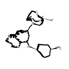 N[C@H]1CC[C@@H](Nc2cc(N3C[C@H]4CCCC3CO4)cc3nccnc23)CC1